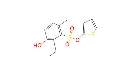 CCc1c(O)ccc(C)c1S(=O)(=O)Oc1cccs1